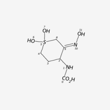 O=C(O)NC1CCS(O)(O)CC1=NO